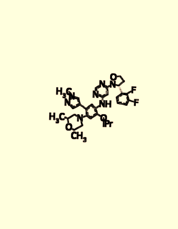 CC(C)Oc1cc(N2C[C@H](C)O[C@@H](C)C2)c(-c2cnn(C)c2)cc1Nc1cc(N2OCC[C@@H]2c2cccc(F)c2F)ncn1